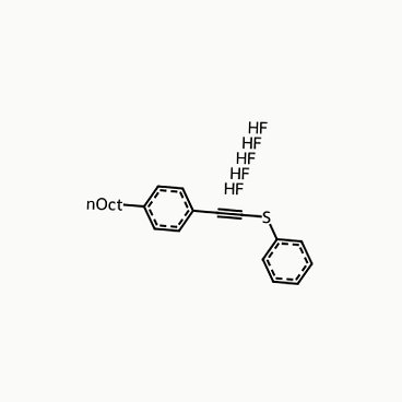 CCCCCCCCc1ccc(C#CSc2ccccc2)cc1.F.F.F.F.F